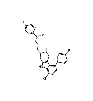 [O-][S+](CCCC1Cc2[nH]c3c(Cl)ccc(-c4ccc(F)cc4)c3c2CN1)c1ccc(F)cc1